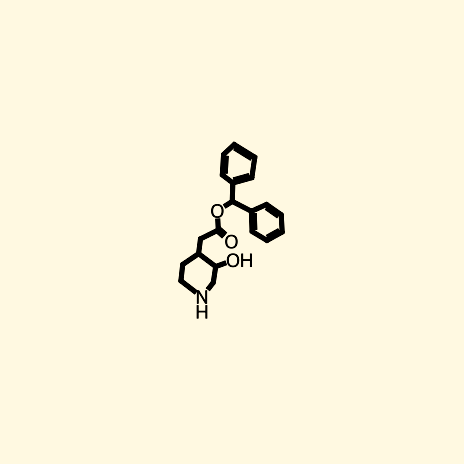 O=C(CC1CCNCC1O)OC(c1ccccc1)c1ccccc1